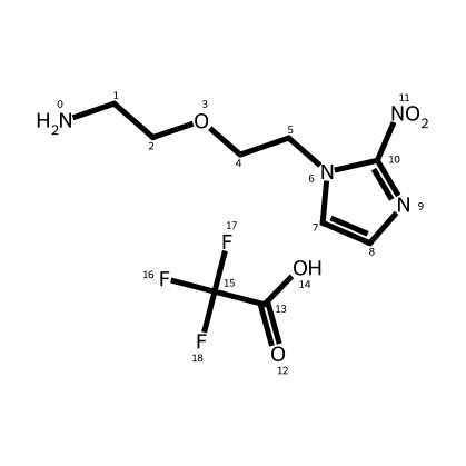 NCCOCCn1ccnc1[N+](=O)[O-].O=C(O)C(F)(F)F